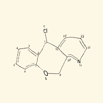 ClC1c2ccccc2OCc2ncccc21